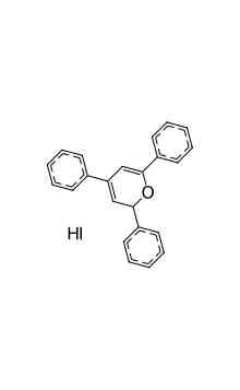 C1=C(c2ccccc2)C=C(c2ccccc2)OC1c1ccccc1.I